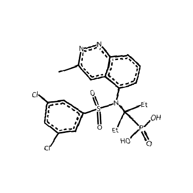 CCC(CC)(N(c1cccc2nnc(C)cc12)S(=O)(=O)c1cc(Cl)cc(Cl)c1)P(=O)(O)O